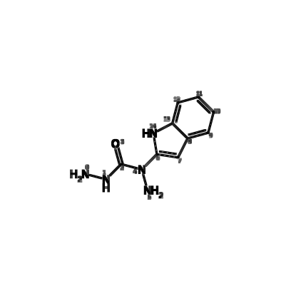 NNC(=O)N(N)c1cc2ccccc2[nH]1